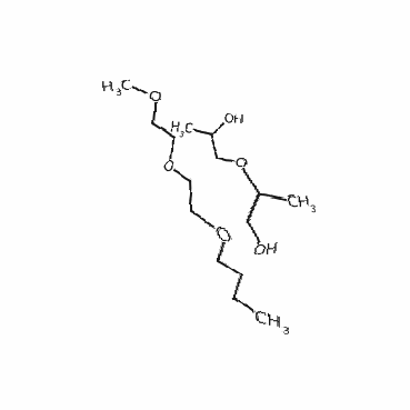 CC(O)COC(C)CO.CCCCOCCOCCOC